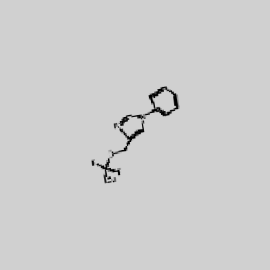 CC(C)(C)C(F)(F)OCc1cn(-c2ccccc2)cn1